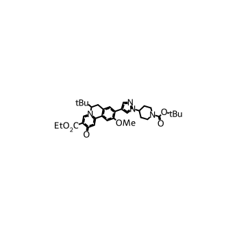 CCOC(=O)c1cn2c(cc1=O)-c1cc(OC)c(-c3cnn(C4CCN(C(=O)OC(C)(C)C)CC4)c3)cc1CC2C(C)(C)C